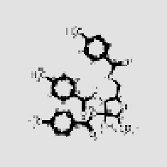 Cc1ccc(C(=O)OCC2O[C@@H](C(=O)O)[C@](C)(OC(=O)c3ccc(C)cc3)[C@@H]2OC(=O)c2ccc(C)cc2)cc1